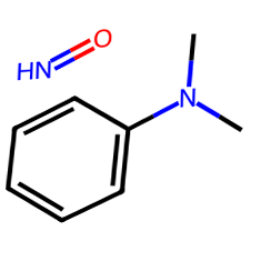 CN(C)c1ccccc1.N=O